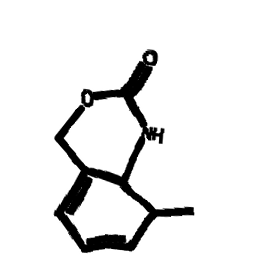 CC1C=CC=C2COC(=O)NC21